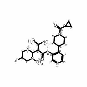 CN1CC(F)CNC1C(C(=O)Nc1cnccc1C1CCN(C(=O)C2CC2)CC1)C(N)N=O